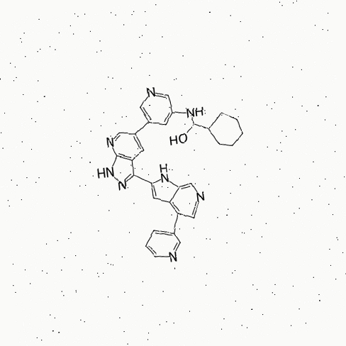 OC(Nc1cncc(-c2cnc3[nH]nc(-c4cc5c(-c6cccnc6)cncc5[nH]4)c3c2)c1)C1CCCCC1